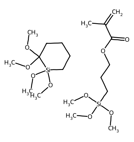 C=C(C)C(=O)OCCC[Si](OC)(OC)OC.COC1(OC)CCCC[Si]1(OC)OC